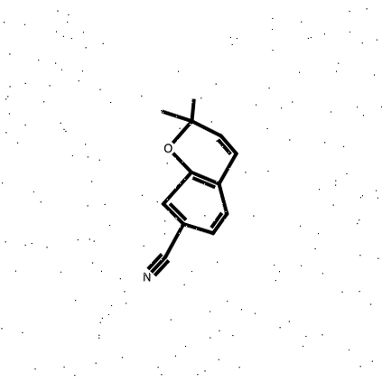 CC1(C)C=Cc2ccc(C#N)cc2O1